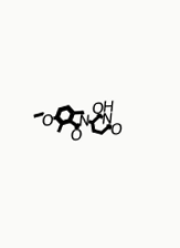 CCOc1ccc2c(c1C)C(=O)N(C1CCC(=O)NC1=O)C2